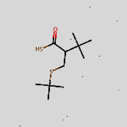 CC(C)(C)SCC(C(=O)S)C(C)(C)C